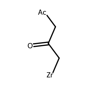 CC(=O)CC(=O)[CH2][Zr]